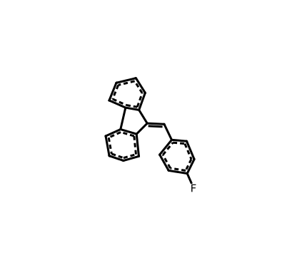 Fc1ccc(C=C2c3ccccc3-c3ccccc32)cc1